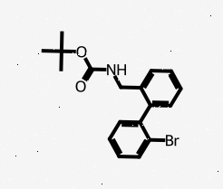 CC(C)(C)OC(=O)NCc1ccccc1-c1ccccc1Br